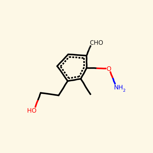 Cc1c(CCO)ccc(C=O)c1ON